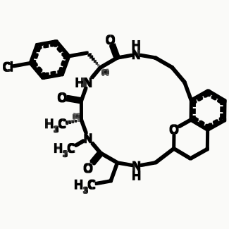 CCC1NCC2CCc3cccc(c3O2)CCCNC(=O)[C@@H](Cc2ccc(Cl)cc2)NC(=O)[C@@H](C)N(C)C1=O